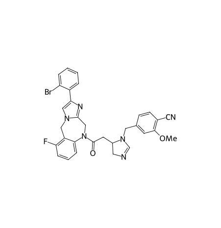 COc1cc(CN2C=NCC2CC(=O)N2Cc3nc(-c4ccccc4Br)cn3Cc3c(F)cccc32)ccc1C#N